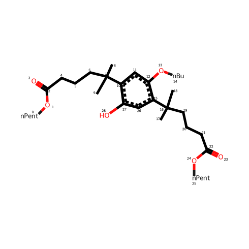 CCCCCOC(=O)CCCC(C)(C)c1cc(OCCCC)c(C(C)(C)CCCC(=O)OCCCCC)cc1O